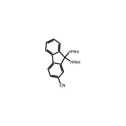 CCCCCCC1(CCCCCC)c2ccccc2-c2ccc(C#N)cc21